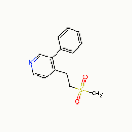 [CH2]S(=O)(=O)CCc1ccncc1-c1ccccc1